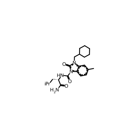 Cc1ccc2c(c1)n(CC1CCCCC1)c(=O)n2C(=O)N[C@@H](CC(C)C)C(N)=O